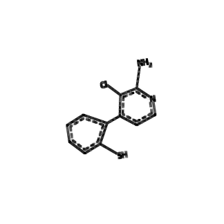 Nc1nccc(-c2ccccc2S)c1Cl